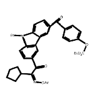 CCOC(=O)Oc1ccc(C(=O)c2ccc3c(c2)c2cc(C(=O)/C(=N\OC(C)=O)C4CCCC4)ccc2n3CC)cc1